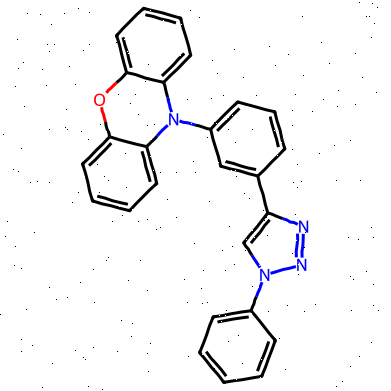 c1ccc(-n2cc(-c3cccc(N4c5ccccc5Oc5ccccc54)c3)nn2)cc1